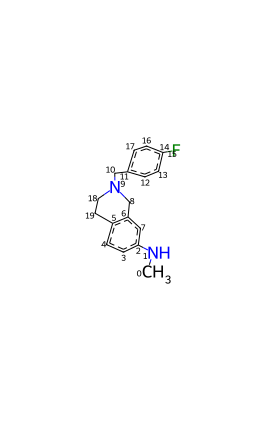 CNc1ccc2c(c1)CN(Cc1ccc(F)cc1)CC2